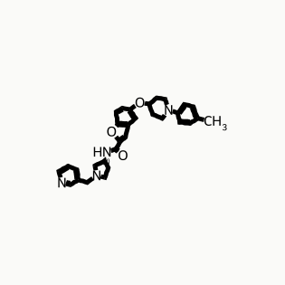 Cc1ccc(N2CCC(Oc3ccc4oc(C(=O)N[C@@H]5CCN(Cc6cccnc6)C5)cc4c3)CC2)cc1